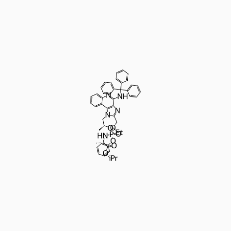 CCOCc1nc2c(NC(c3ccccc3)(c3ccccc3)c3ccccc3)nc3ccccc3c2n1C[C@H](C)O[P@@](=O)(N[C@@H](C)C(=O)OC(C)C)Oc1ccccc1